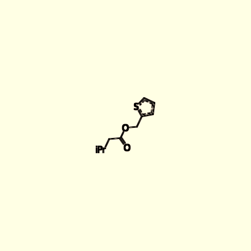 CC(C)CC(=O)OCc1cccs1